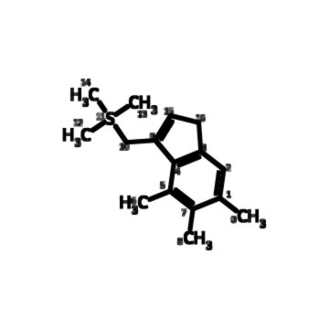 Cc1cc2c(c(C)c1C)C(CS(C)(C)C)=CC2